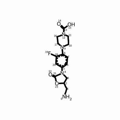 NCC1CN(c2ccc(N3CCN(C(=O)O)CC3)c(F)c2)C(=O)O1